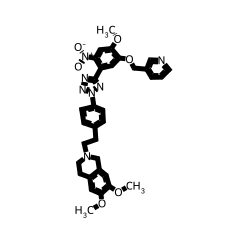 COc1cc2c(cc1OC)CN(CCc1ccc(-n3nnc(-c4cc(OCc5cccnc5)c(OC)cc4[N+](=O)[O-])n3)cc1)CC2